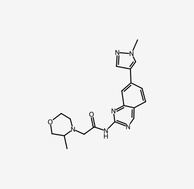 CC1COCCN1CC(=O)Nc1ncc2ccc(-c3cnn(C)c3)cc2n1